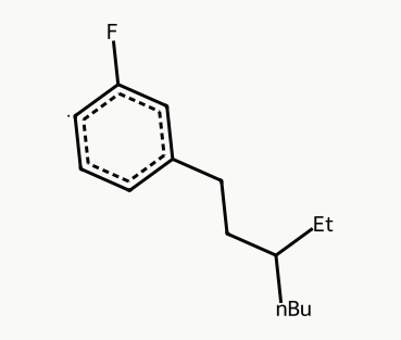 CCCCC(CC)CCc1cc[c]c(F)c1